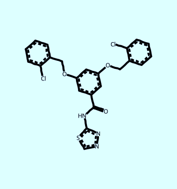 O=C(Nc1nncs1)c1cc(OCc2ccccc2Cl)cc(OCc2ccccc2Cl)c1